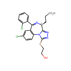 O=C(O)CC[C@@H]1N=C(c2ccccc2Cl)c2cc(Cl)ccc2-n2c(SCCO)nnc21